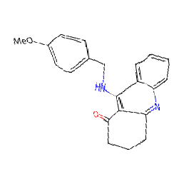 COc1ccc(CNc2c3c(nc4ccccc24)CCCC3=O)cc1